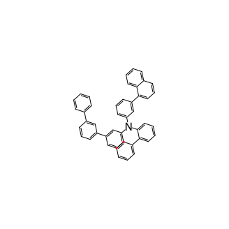 c1ccc(-c2cccc(-c3cccc(N(c4cccc(-c5cccc6ccccc56)c4)c4ccccc4-c4ccccc4)c3)c2)cc1